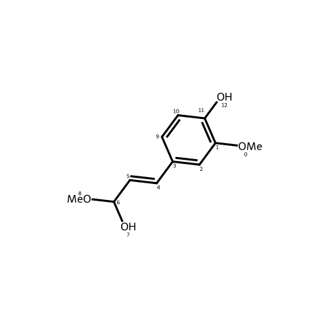 COc1cc(/C=C/C(O)OC)ccc1O